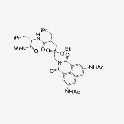 CCOP(=O)(CC(CC(C)C)C(=O)N[C@@H](CC(C)C)C(=O)NC)CN1C(=O)c2cc(NC(C)=O)cc3cc(NC(C)=O)cc(c23)C1=O